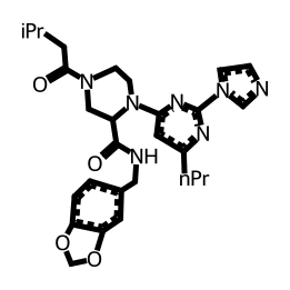 CCCc1cc(N2CCN(C(=O)CC(C)C)CC2C(=O)NCc2ccc3c(c2)OCO3)nc(-n2ccnc2)n1